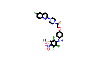 Cc1c(F)c(NC2CCC(OCC(=S)N3CCN(c4ccc5cc(F)ccc5n4)CC3)CC2)c(F)c(F)c1[N+](=O)[O-]